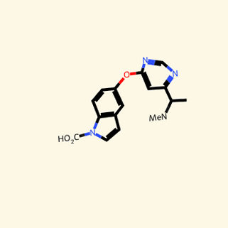 CNC(C)c1cc(Oc2ccc3c(ccn3C(=O)O)c2)ncn1